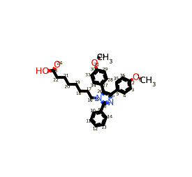 COc1ccc(-c2nc(-c3ccccc3)n(CCCCCCCC(=O)O)c2-c2ccc(OC)cc2)cc1